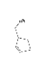 CCCCC1C=CCC1